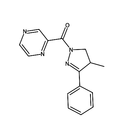 CC1CN(C(=O)c2cnccn2)N=C1c1ccccc1